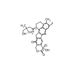 CC[C@@]1(O)C(=O)OCc2c1cc1n(c2=O)Cc2c-1nc1cc(F)c(C)c3c1c2[C@@H](NCC(C)(C)CO)CC3